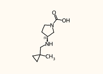 CC1(CN[C@H]2CCN(C(=O)O)C2)CC1